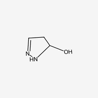 OC1CC=NN1